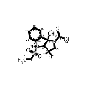 CCS(=O)(=O)NC1C(F)(F)CN(C(=O)O)C1(C)c1ccccc1Cl